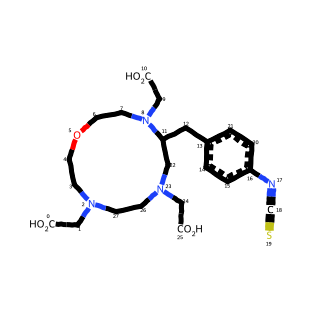 O=C(O)CN1CCOCCN(CC(=O)O)C(Cc2ccc(N=C=S)cc2)CN(CC(=O)O)CC1